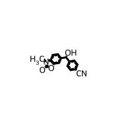 Cn1c(=O)oc2cc(C(O)c3ccc(C#N)cc3)ccc21